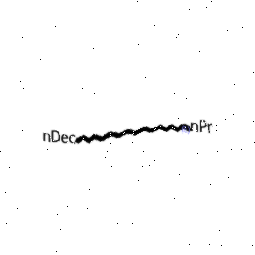 CCC/C=C/CCCCCCCCCCCCCCCCCCCCCCCCC